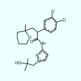 CC(C)(O)Cn1ccc(NC(=O)C(CC2(C)CCCCO2)c2ccc(Cl)c(Cl)c2)n1